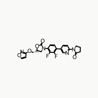 O=C1CCCN1c1ccc(-c2ccc(N3C[C@H](COc4ccon4)OC3=O)c(F)c2F)cn1